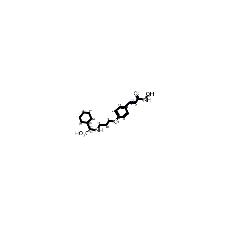 O=C(/C=C/c1ccc(OCCCN[C@H](C(=O)O)C2CCCCC2)cc1)NO